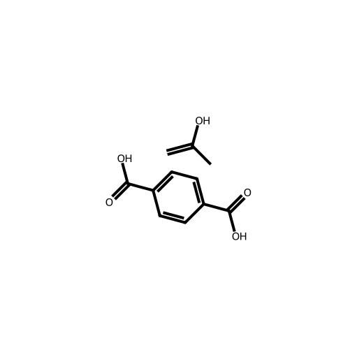 C=C(C)O.O=C(O)c1ccc(C(=O)O)cc1